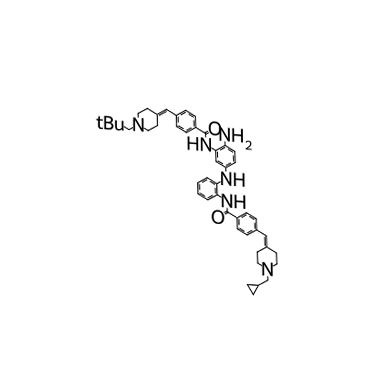 CC(C)(C)CN1CCC(=Cc2ccc(C(=O)Nc3cc(Nc4ccccc4NC(=O)c4ccc(C=C5CCN(CC6CC6)CC5)cc4)ccc3N)cc2)CC1